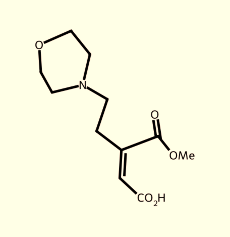 COC(=O)C(=CC(=O)O)CCN1CCOCC1